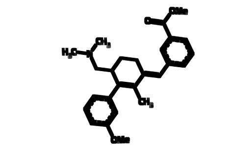 COC(=O)c1cccc(C=C2CCC(CN(C)C)C(c3cccc(OC)c3)=C2C)c1